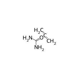 C=C=C.NC(N)=O